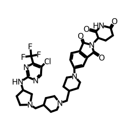 O=C1CCC(N2C(=O)c3ccc(N4CCC(CN5CCC(CN6CCC(Nc7ncc(Cl)c(C(F)(F)F)n7)C6)CC5)CC4)cc3C2=O)C(=O)N1